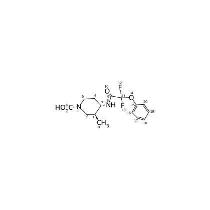 C[C@H]1CN(C(=O)O)CC[C@@H]1NC(=O)C(F)(F)Oc1ccccc1